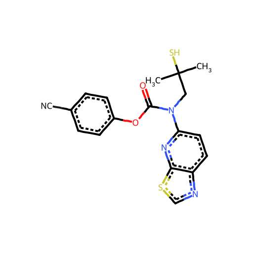 CC(C)(S)CN(C(=O)Oc1ccc(C#N)cc1)c1ccc2ncsc2n1